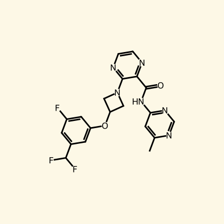 Cc1cc(NC(=O)c2nccnc2N2CC(Oc3cc(F)cc(C(F)F)c3)C2)ncn1